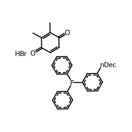 Br.CC1=C(C)C(=O)C=CC1=O.CCCCCCCCCCc1cccc(P(c2ccccc2)c2ccccc2)c1